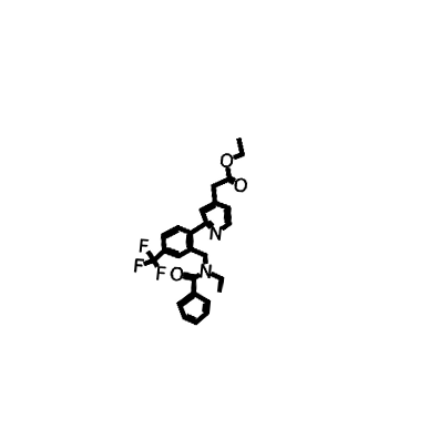 CCOC(=O)Cc1ccnc(-c2ccc(C(F)(F)F)cc2CN(CC)C(=O)c2ccccc2)c1